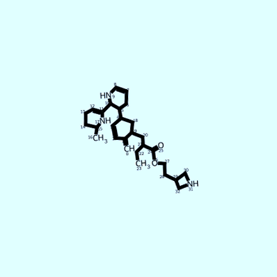 C=C1C=CC(C2CC=CNC2C2=CCCC(C)N2)CC1CC(CC)C(=O)OCCC1CNC1